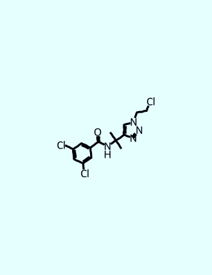 CC(C)(NC(=O)c1cc(Cl)cc(Cl)c1)c1cn(CCCl)nn1